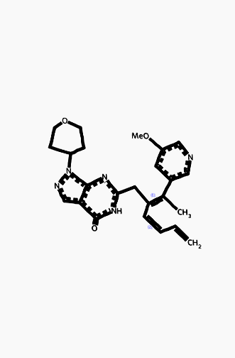 C=C/C=C\C(Cc1nc2c(cnn2C2CCOCC2)c(=O)[nH]1)=C(/C)c1cncc(OC)c1